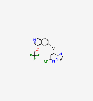 FC(F)(F)COc1cncc2ccc(C3C[C@@H]3c3cc(Cl)nn4ccnc34)cc12